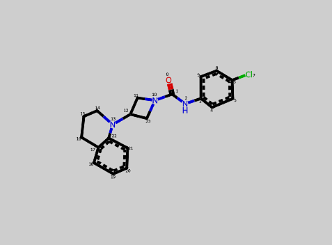 O=C(Nc1ccc(Cl)cc1)N1CC(N2CCCc3ccccc32)C1